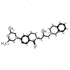 CC1CN(c2ccc3c(c2)CCN(CC(O)CN2CCc4ccccc4C2)C3=O)CC(C)O1